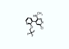 CNc1nnc(Cl)cc1-c1cccnc1OCC(F)(F)F